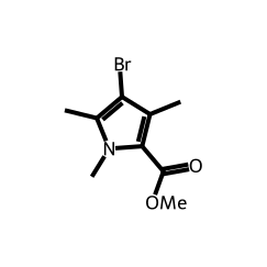 COC(=O)c1c(C)c(Br)c(C)n1C